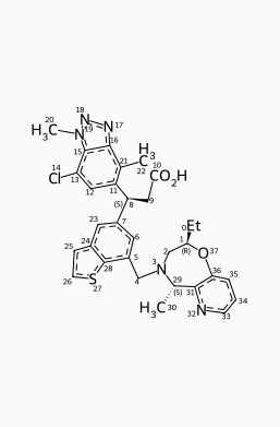 CC[C@@H]1CN(Cc2cc([C@H](CC(=O)O)c3cc(Cl)c4c(nnn4C)c3C)cc3ccsc23)[C@@H](C)c2ncccc2O1